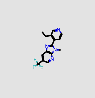 CCc1cnccc1-c1nc2cc(C(F)(F)F)cnc2n1C